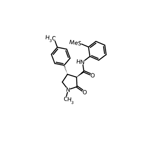 CSc1ccccc1NC(=O)[C@H]1C(=O)N(C)C[C@@H]1c1ccc(C)cc1